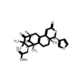 COC(=O)C[C@H]1C(C)(C)C(=O)[C@@H]2CC3=C(CC[C@]4(C)C3=CC(=O)O[C@H]4c3ccoc3)[C@@]1(C)C2=O